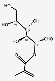 C=C(C)C(=O)O[C@@H](C=O)[C@@H](O)[C@@H](O)[C@H](O)CO